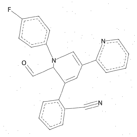 N#Cc1ccccc1C1=CC(c2ccccn2)=CN(c2ccc(F)cc2)C1C=O